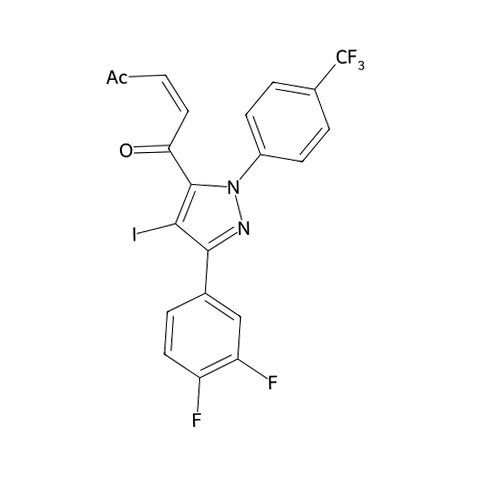 CC(=O)/C=C\C(=O)c1c(I)c(-c2ccc(F)c(F)c2)nn1-c1ccc(C(F)(F)F)cc1